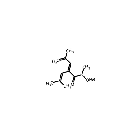 C=C(C)/C=C(\C=C(C)C)C(=O)N(C)OC